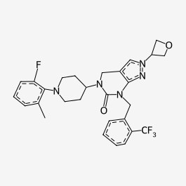 Cc1cccc(F)c1N1CCC(N2Cc3cn(C4COC4)nc3N(Cc3ccccc3C(F)(F)F)C2=O)CC1